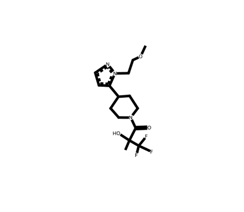 COCCn1nccc1C1CCN(C(=O)C(C)(O)C(F)(F)F)CC1